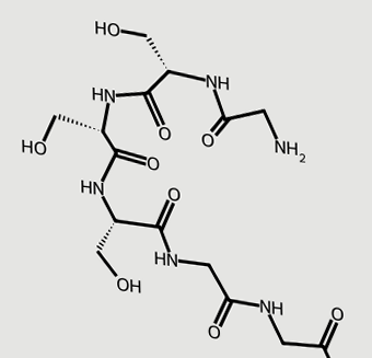 NCC(=O)N[C@@H](CO)C(=O)N[C@@H](CO)C(=O)N[C@@H](CO)C(=O)NCC(=O)NCC(=O)O